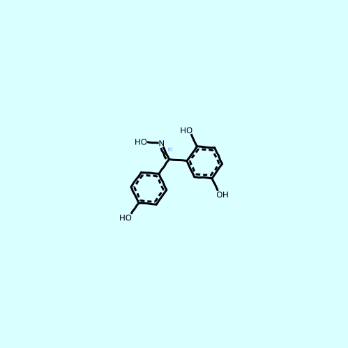 O/N=C(\c1ccc(O)cc1)c1cc(O)ccc1O